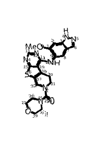 COc1cc2[nH]ncc2cc1Nc1ncnc2sc3c(c12)CCN(C(=O)N1CCOC[C@H]1C)C3